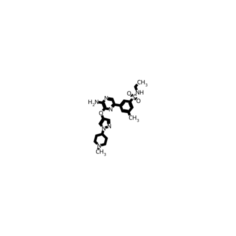 CCNS(=O)(=O)c1cc(C)cc(-c2cnc(N)c(Oc3cnn(C4CCN(C)CC4)c3)n2)c1